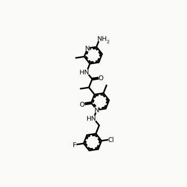 Cc1ccn(NCc2cc(F)ccc2Cl)c(=O)c1C(C)C(=O)Nc1ccc(N)nc1C